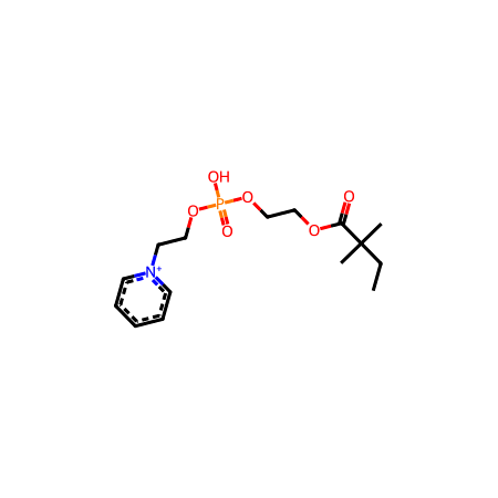 CCC(C)(C)C(=O)OCCOP(=O)(O)OCC[n+]1ccccc1